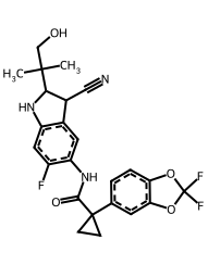 CC(C)(CO)C1Nc2cc(F)c(NC(=O)C3(c4ccc5c(c4)OC(F)(F)O5)CC3)cc2C1C#N